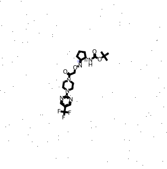 CC(C)(C)OC(=O)N[C@H]1CCC/C1=N\OCC(=O)N1CCN(c2ncc(C(F)(F)F)cn2)CC1